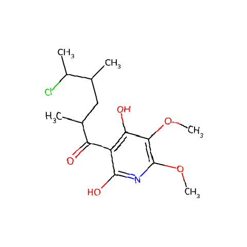 COc1nc(O)c(C(=O)C(C)CC(C)C(C)Cl)c(O)c1OC